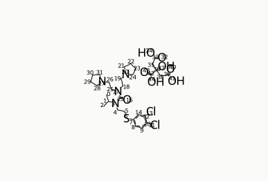 CC(C)N(CCSc1ccc(Cl)c(Cl)c1)C(=O)N(CCN1CCCC1)CCN1CCCC1.O=C(O)CC(O)(CC(=O)O)C(=O)O